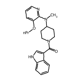 CCCOc1cccnc1N(C)C1CCN(C(=O)c2c[nH]c3ccccc23)CC1